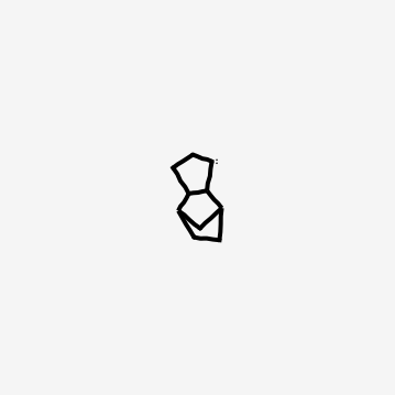 [C]1CCC2C3CCC(C3)C12